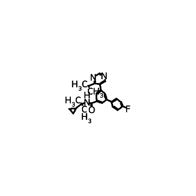 CC(C)c1ncncc1-c1cc(C(=O)NC(C)(C)C2CC2)cc(-c2ccc(F)cc2)c1